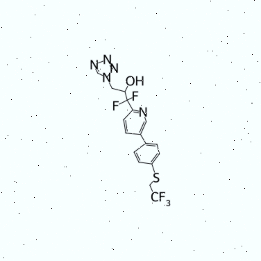 OC(Cn1cnnn1)C(F)(F)c1ccc(-c2ccc(SCC(F)(F)F)cc2)cn1